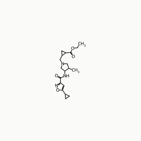 CCOC(=O)C1CC1CN1CC(C)C(NC(=O)c2cc(C3CC3)on2)C1